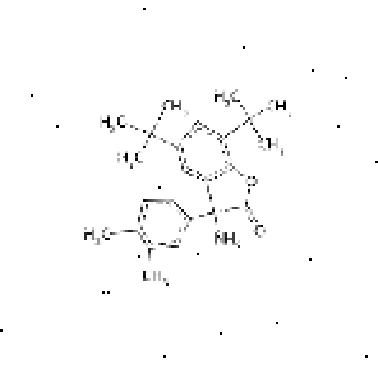 Cc1ccc(C2(N)C(=O)Oc3c(C(C)(C)C)cc(C(C)(C)C)cc32)cc1C